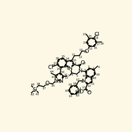 Cc1cc(N2CC(C)n3c(c(CCCOc4cc(C)c(Cl)c(C)c4)c4ccc(Cl)c(-c5c(C)nn(COCC[Si](C)(C)C)c5C)c43)C2=O)c2c(c1)cc(C(=O)O)n2Cc1ccccn1